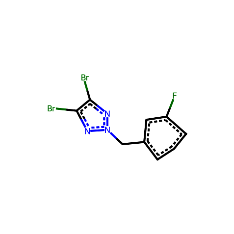 Fc1cccc(Cn2nc(Br)c(Br)n2)c1